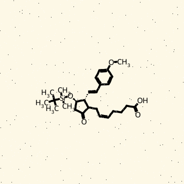 COc1ccc(C=C[C@@H]2C(C/C=C\CCCC(=O)O)C(=O)C[C@H]2O[Si](C)(C)C(C)(C)C)cc1